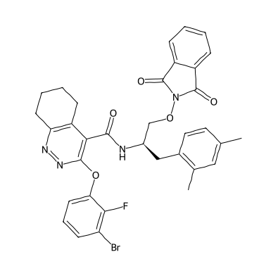 Cc1ccc(C[C@H](CON2C(=O)c3ccccc3C2=O)NC(=O)c2c(Oc3cccc(Br)c3F)nnc3c2CCCC3)c(C)c1